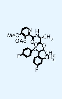 COc1ccnc(C(=O)N[C@@H](C)C(=O)O[C@@H](C)[C@H](Sc2ccc(F)cc2)c2ccc(F)cc2C)c1OC(C)=O